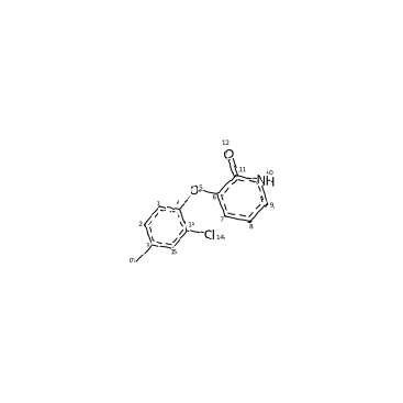 Cc1ccc(Oc2ccc[nH]c2=O)c(Cl)c1